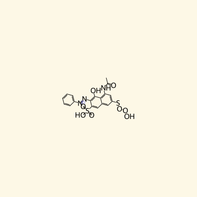 CC(=O)Nc1cc(SOOO)cc2cc(S(=O)(=O)O)c(/N=N/c3ccccc3)c(O)c12